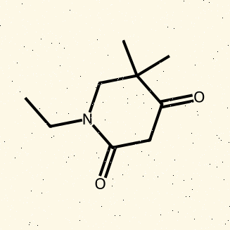 CCN1CC(C)(C)C(=O)CC1=O